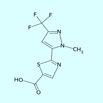 Cn1nc(C(F)(F)F)cc1-c1ncc(C(=O)O)s1